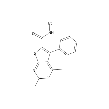 CCNC(=O)c1sc2nc(C)cc(C)c2c1-c1ccccc1